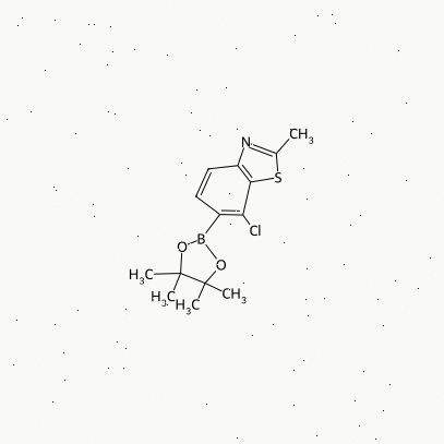 Cc1nc2ccc(B3OC(C)(C)C(C)(C)O3)c(Cl)c2s1